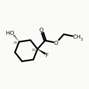 CCOC(=O)[C@]1(F)CCC[C@H](O)C1